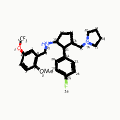 COc1ccc(OC(F)(F)F)cc1CNC1CCC(CN2CCCC2)C1c1ccc(F)cc1